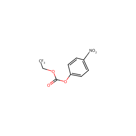 O=C(OCC(F)(F)F)Oc1ccc([N+](=O)[O-])cc1